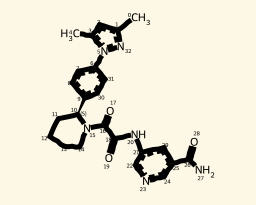 Cc1cc(C)n(-c2ccc([C@@H]3CCCCN3C(=O)C(=O)Nc3cncc(C(N)=O)c3)cc2)n1